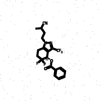 CC(C#N)CCn1nc(C(F)(F)F)c2c1CCC(F)(F)[C@H]2OC(=O)c1ccccc1